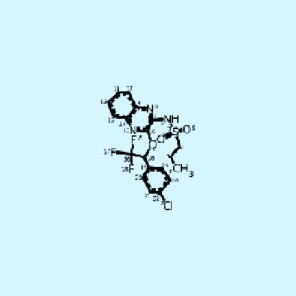 CCCS(=O)(=O)Nc1nc2ccccc2nc1OC(c1ccc(Cl)cc1)C(F)(F)F